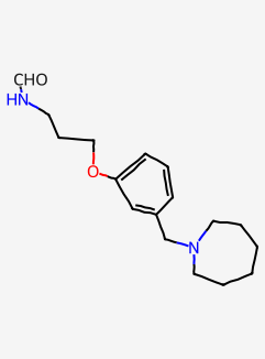 O=CNCCCOc1cccc(CN2CCCCCC2)c1